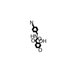 COc1ccc(C(OC)C(=O)NCc2ccc(C#N)cc2)c(O)c1